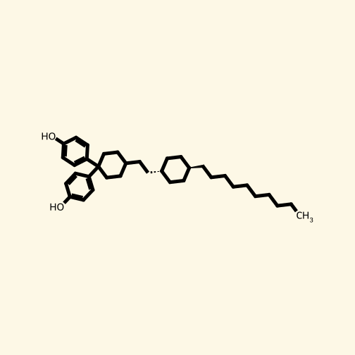 CCCCCCCCCC[C@H]1CC[C@H](CCC2CCC(c3ccc(O)cc3)(c3ccc(O)cc3)CC2)CC1